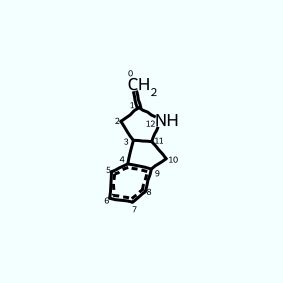 C=C1CC2c3ccccc3CC2N1